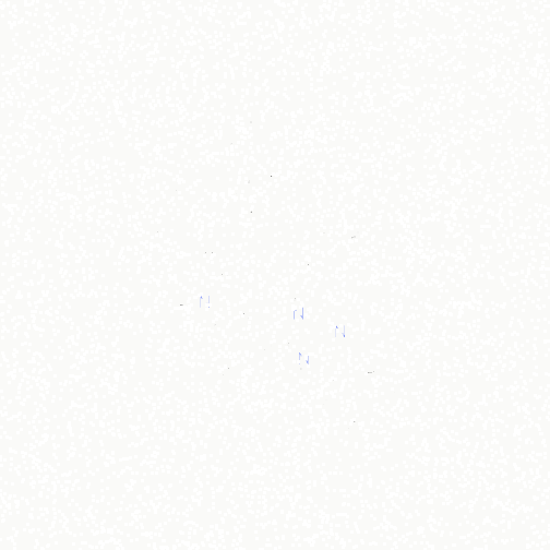 CC1(C)C2=c3ccccc3=CC2=Cc2cc3ccn(-c4cccc(-c5nc(-c6ccccc6)nc(-c6ccccc6)n5)c4)cc-3c21